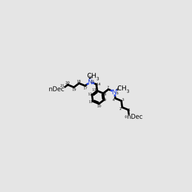 CCCCCCCCCCCCCCN(C)Cc1ccccc1CN(C)CCCCCCCCCCCCCC